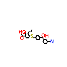 CCCc1c(SCc2ccc(C(O)c3cccc(C#N)c3)cc2)ccc(C(C)=O)c1O